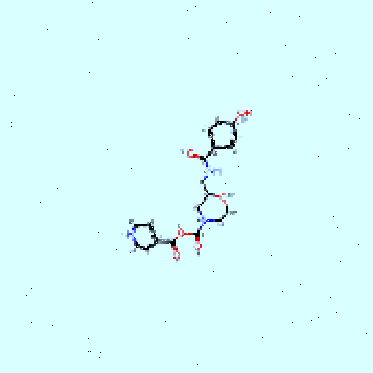 O=C(NCC1CN(C(=O)OC(=O)c2ccncc2)CCO1)c1ccc(O)cc1